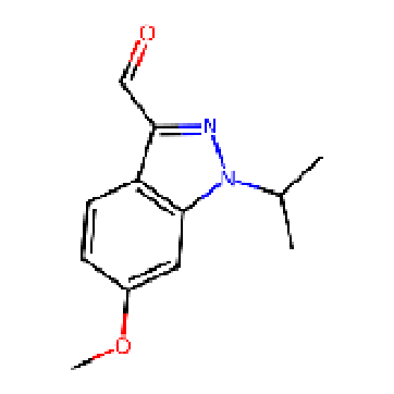 COc1ccc2c(C=O)nn(C(C)C)c2c1